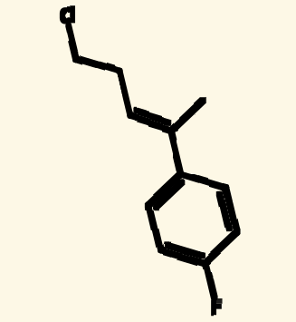 CC(=CCCCl)c1ccc(F)cc1